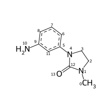 CN1CCN(c2cccc(N)c2)C1=O